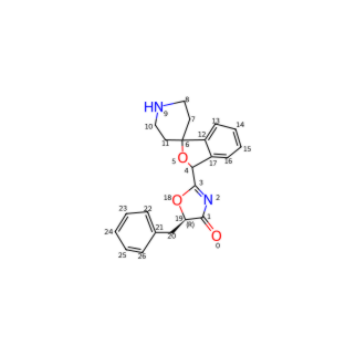 O=C1N=C(C2OC3(CCNCC3)c3ccccc32)O[C@@H]1Cc1ccccc1